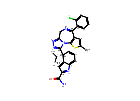 CCCc1cc2c(s1)-n1c(nnc1[C@@]1(C(CC)C(=O)O)C=CC=C3N=C(C(N)=O)C=C31)CN=C2c1ccccc1Cl